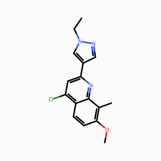 CCn1cc(-c2cc(Cl)c3ccc(OC)c(C)c3n2)cn1